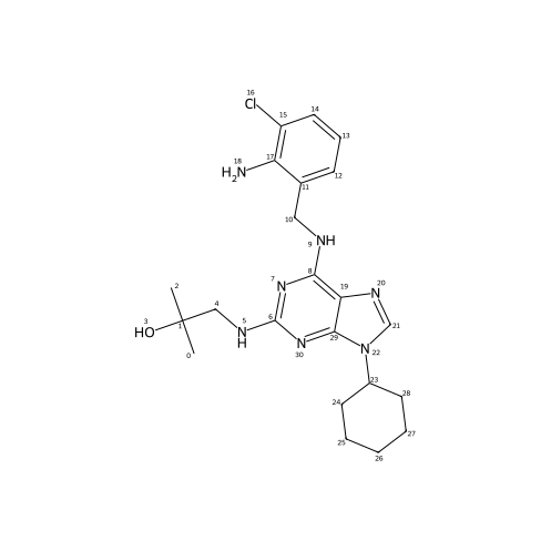 CC(C)(O)CNc1nc(NCc2cccc(Cl)c2N)c2ncn(C3CCCCC3)c2n1